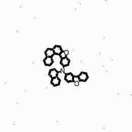 c1ccc2c(N(c3ccc4oc5ccccc5c4c3)c3ccc4oc5ccc6ccc7ccccc7c6c5c4c3)cccc2c1